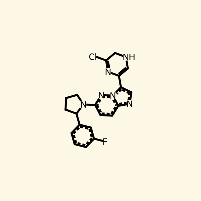 Fc1cccc(C2CCCN2c2ccc3ncc(C4=CNCC(Cl)=N4)n3n2)c1